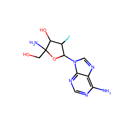 Nc1ncnc2c1ncn2C1OC(N)(CO)C(O)C1F